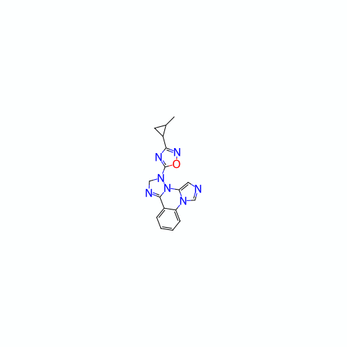 CC1CC1c1noc(N2CN=C3c4ccccc4-n4cncc4N32)n1